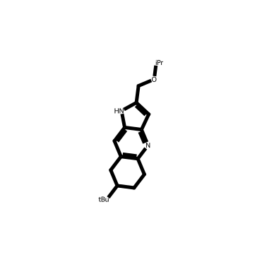 CC(C)OCc1cc2nc3c(cc2[nH]1)CC(C(C)(C)C)CC3